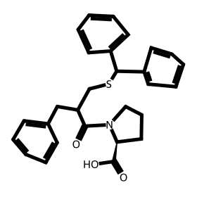 O=C(O)[C@@H]1CCCN1C(=O)C(CSC(c1ccccc1)c1ccccc1)Cc1ccccc1